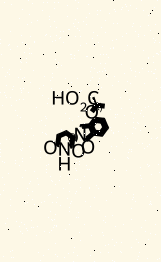 C[C@@H](Oc1cccc2c1CN([C@@H]1CCC(=O)NC1=O)C2=O)C(=O)O